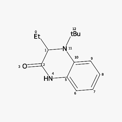 CCC1C(=O)Nc2ccccc2N1C(C)(C)C